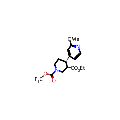 CCOC(=O)[C@H]1CN(C(=O)OC(F)(F)F)CC[C@@H]1c1ccnc(OC)c1